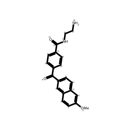 COc1ccc2cc(C(=O)c3ccc(C(=O)NCCN)cc3)ccc2c1